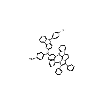 CC(C)(C)c1ccc(N(c2cccc(-n3c4ccccc4c4ccc5c(-c6ccccc6)c(-c6ccccc6)n(-c6ccccc6)c5c43)c2)c2ccc3c(c2)c2ccccc2n3-c2ccc(C(C)(C)C)cc2)cc1